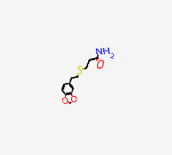 NC(=O)CCSCCc1ccc2c(c1)OCO2